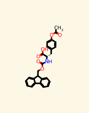 CC(=O)Oc1ccc(C[C@H](NC(=O)OCC2c3ccccc3-c3ccccc32)C(=O)O)cc1